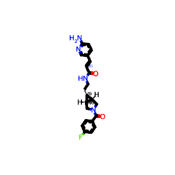 Nc1ccc(/C=C/C(=O)NCC[C@@H]2[C@H]3CN(C(=O)c4ccc(F)cc4)C[C@@H]23)cn1